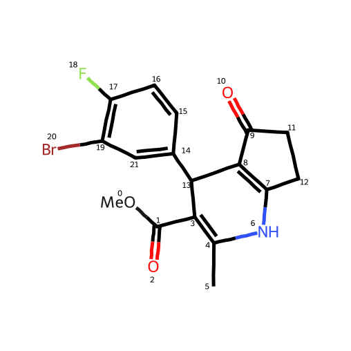 COC(=O)C1=C(C)NC2=C(C(=O)CC2)C1c1ccc(F)c(Br)c1